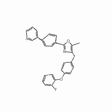 Cc1oc(-c2ccc(-c3cccnc3)cc2)nc1Cc1ccc(Oc2ccccc2F)cc1